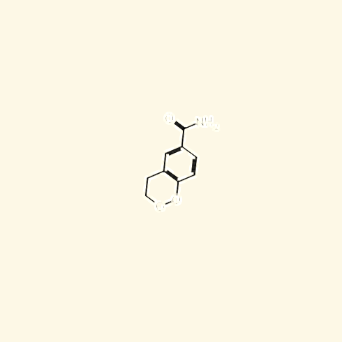 NC(=O)c1ccc2c(c1)CCOO2